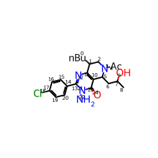 CCCCC1CN(C(C)=O)C(CC(C)O)c2c1nc(-c1ccc(Cl)cc1)n(N)c2=O